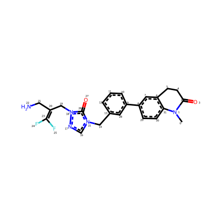 CN1C(=O)CCc2cc(-c3cccc(Cn4cnn(CC(CN)=C(F)F)c4=O)c3)ccc21